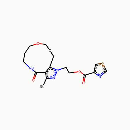 CCc1nn(CCOC(=O)c2cscn2)c2c1C(=O)NCCCOCCC2